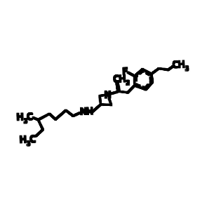 C=C(Cc1ccc(CCC)cc1F)N1CC(CNCCCCC(C)CC)C1